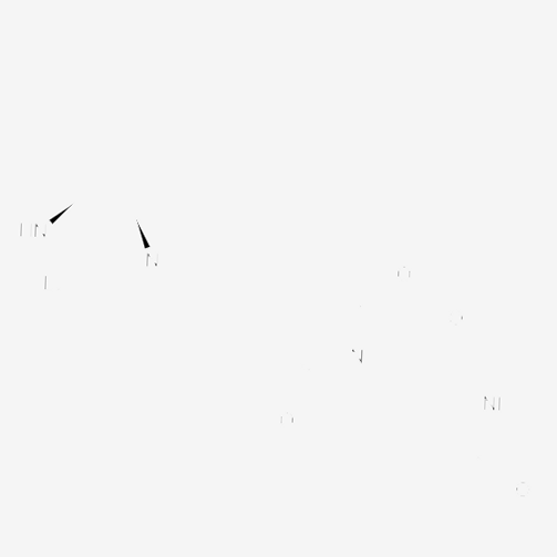 CCN[C@H]1Cc2ccccc2[C@H]1N(C)c1ccc2c(c1)C(=O)N(C1CCC(=O)NC1=O)C2=O